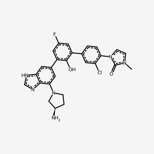 Cn1ccn(-c2ccc(-c3cc(F)cc(-c4cc(N5CC[C@@H](N)C5)c5nc[nH]c5c4)c3O)cc2Cl)c1=O